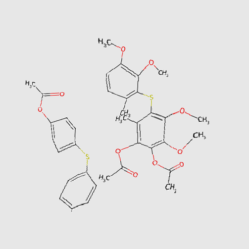 CC(=O)Oc1ccc(Sc2cc[c]cc2)cc1.COc1ccc(C)c(Sc2c(C)c(OC(C)=O)c(OC(C)=O)c(OC)c2OC)c1OC